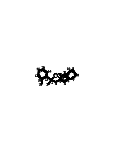 CCOC(=O)C(C)(Cc1cc2ccccc2s1)c1ccccc1C